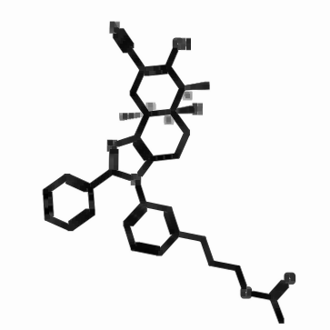 CC(=O)OCCCc1cccc(-n2c(-c3ccccc3)nc3c2CC[C@H]2[C@H](C)C(O)=C(C#N)C[C@]32C)c1